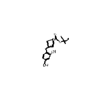 CC(C)(C)OC(=O)N1CC(Cc2ccc(O)cc2O)C1